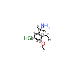 CCOc1cccc(C(C)(C)N)c1CC.Cl